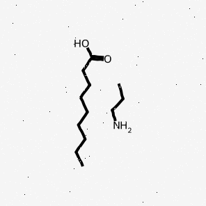 CCCCCCCCC(=O)O.CCCN